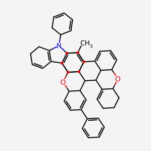 CC1C=CC2OC3C=CC(c4ccccc4)=CC3C(C3C4=CCCCC4OC4C=CC=C(C5=CC6C(CC5)C5=C(CCC=C5)N6C5C=CC=CC5)C43)C2C1